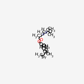 CC(C=C/C=C(C)/C=C/C1=C(C)CCCC1(C)C)=CC(=O)O[C@@H]1CC[C@@]2(C)C(=CC=C3[C@@H]4CC[C@H]([C@H](C)C=C[C@H](C)C(C)C)[C@@]4(C)CC[C@@H]32)C1